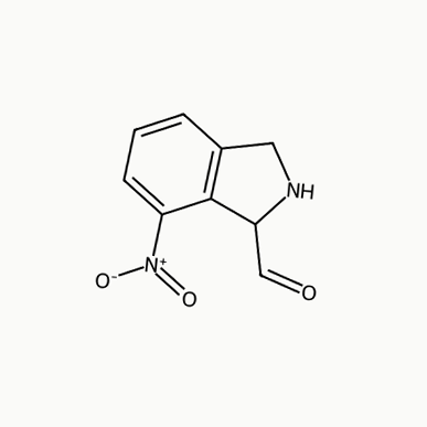 O=CC1NCc2cccc([N+](=O)[O-])c21